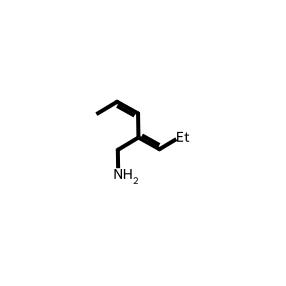 C/C=C\C(=C/CC)CN